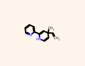 C=CC1(C)C=CNC(c2ccccn2)=C1